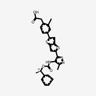 Cc1cc(-c2cc3sc(-c4snc(C)c4NC(=O)O[C@H](C)c4ccccc4)cc3s2)ccc1CC(=O)O